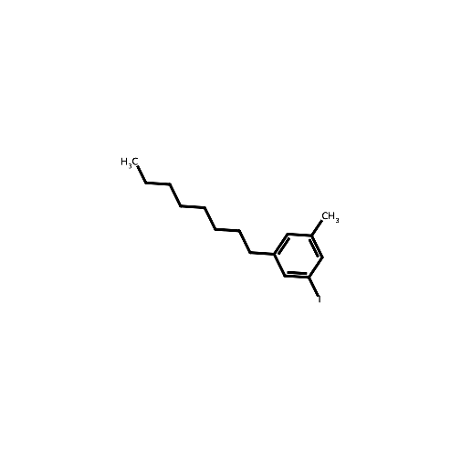 CCCCCCCCc1cc(C)cc(I)c1